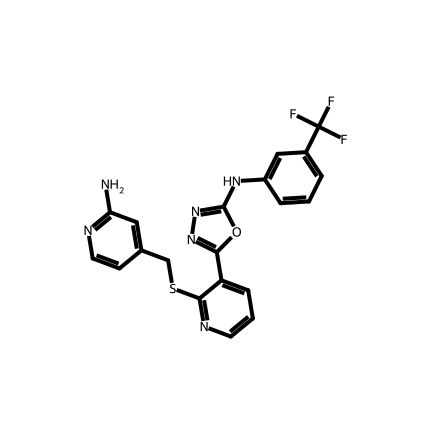 Nc1cc(CSc2ncccc2-c2nnc(Nc3cccc(C(F)(F)F)c3)o2)ccn1